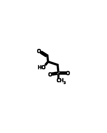 CS(=O)(=O)CC(O)C=O